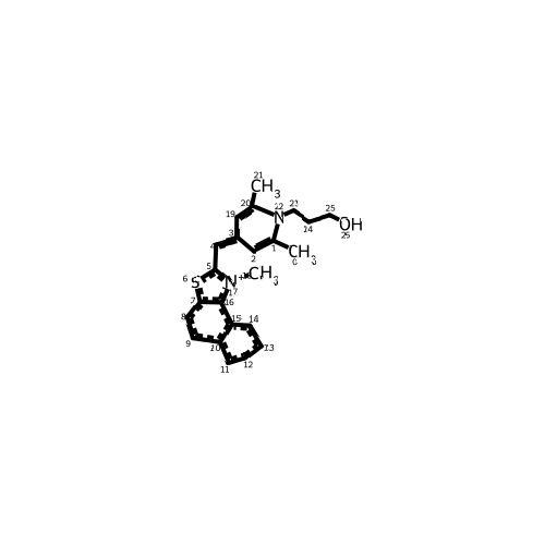 CC1=CC(=Cc2sc3ccc4ccccc4c3[n+]2C)C=C(C)N1CCCO